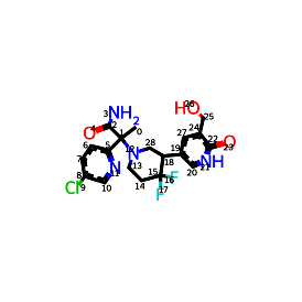 CC(C(N)=O)(c1ccc(Cl)cn1)N1CCC(F)(F)C(c2c[nH]c(=O)c(CO)c2)C1